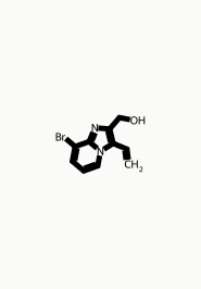 C=Cc1c(CO)nc2c(Br)cccn12